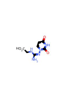 NC(=Nn1ccc(=O)[nH]c1=O)NCC(=O)O